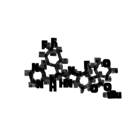 CC(C)(C)OC(=O)C1(c2ccc3[nH]c([C@@H](Nc4cnccn4)C4CCC(F)(F)CC4)nc3c2F)CCOCC1